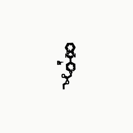 CCOC(=O)C[n+]1ccc(-c2nc3ccccn3n2)cc1.[Br-]